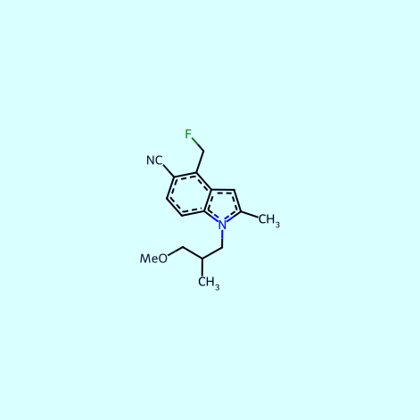 COCC(C)Cn1c(C)cc2c(CF)c(C#N)ccc21